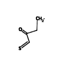 [CH2]CC(=O)C=S